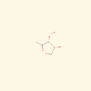 CO[C@@H]1C(C)O[C@@H](C)[C@@H]1O